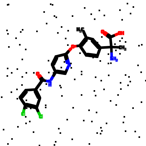 Cc1cc(C(C)(N)C(=O)O)ccc1Oc1ccc(NC(=O)c2ccc(Cl)c(Cl)c2)cn1